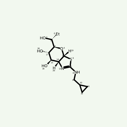 CC[C@@H](O)[C@H]1O[C@@H]2SC(NCC3CC3)=N[C@@H]2[C@@H](O)[C@@H]1O